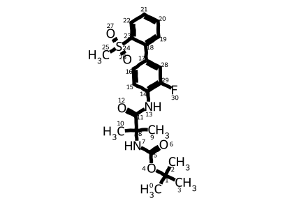 CC(C)(C)OC(=O)NC(C)(C)C(=O)Nc1ccc(-c2ccccc2S(C)(=O)=O)cc1F